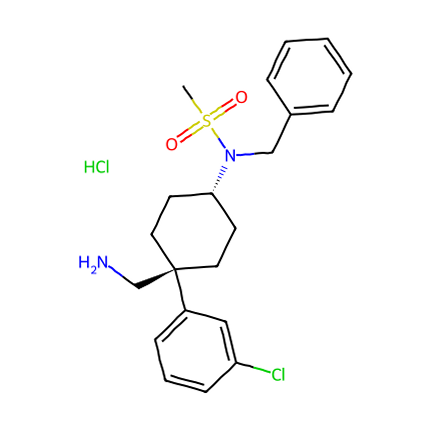 CS(=O)(=O)N(Cc1ccccc1)[C@H]1CC[C@@](CN)(c2cccc(Cl)c2)CC1.Cl